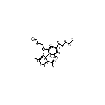 C=C(C)C1CCC(C)=CC1c1c(O)cc(CCCCC)cc1OCCN=O